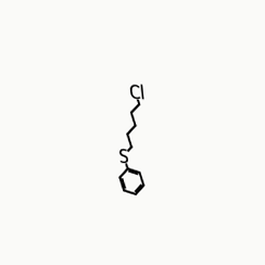 ClCCCCCSc1ccccc1